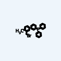 Cc1ccccc1CBr.c1ccc(P(c2ccccc2)c2ccccc2)cc1